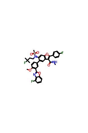 CNC(=O)c1c(-c2ccc(F)cc2)oc2cc(N(CCC(C)(C)F)S(C)(=O)=O)c(-c3ccc(OC)c(-c4nc5c(F)cccc5o4)c3)cc12